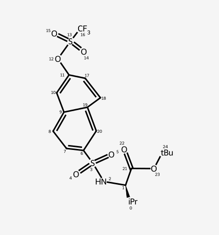 CC(C)[C@@H](NS(=O)(=O)c1ccc2cc(OS(=O)(=O)C(F)(F)F)ccc2c1)C(=O)OC(C)(C)C